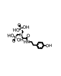 O=C(CN(CP(=O)(O)O)CP(=O)(O)O)NCCc1ccc(O)cc1